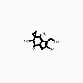 CC1=C2C(=CC(S)=C2CO)C(=O)C(O)C12CC2